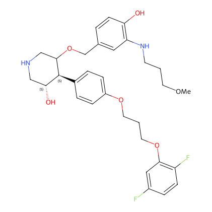 COCCCNc1cc(COC2CNC[C@@H](O)[C@@H]2c2ccc(OCCCOc3cc(F)ccc3F)cc2)ccc1O